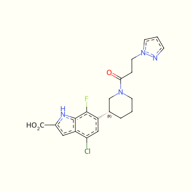 O=C(O)c1cc2c(Cl)cc([C@H]3CCCN(C(=O)CCn4cccn4)C3)c(F)c2[nH]1